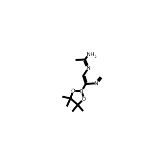 C=N/C(=C\N=C(/C)N)B1OC(C)(C)C(C)(C)O1